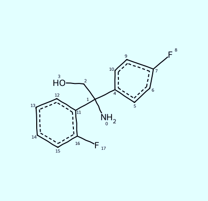 NC(CO)(c1ccc(F)cc1)c1ccccc1F